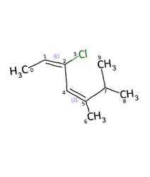 C/C=C(Cl)\C=C(\C)C(C)C